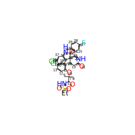 CCS(=O)(=O)NC(=O)C(C)(C)Oc1ccc(Cl)cc1[C@H]1CC(=O)N[C@@H](c2cc(F)ccc2C)[C@]12C(=O)Nc1cc(Cl)ccc12